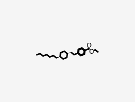 CCCCCCC[C@H]1CC[C@H](CCc2ccc(C(=O)OCC)cc2)CC1